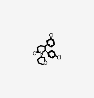 O=C1CCC(c2cccc(Cl)c2)[C@@H](c2ccc(Cl)cc2)N1C1CCCOC1